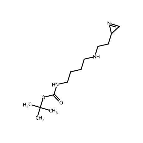 CC(C)(C)OC(=O)NCCCCNCCC1C=N1